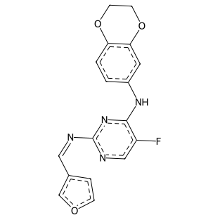 Fc1cnc(/N=C\c2ccoc2)nc1Nc1ccc2c(c1)OCCO2